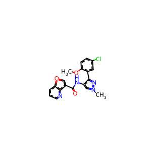 COc1ccc(Cl)cc1-c1nn(C)cc1NC(=O)c1coc2cccnc12